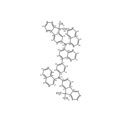 CC1(C)c2ccccc2-c2ccc(N(c3ccc(-c4ccc(N(c5ccc6c(c5)C(C)(C)c5ccccc5-6)c5cccc6ccccc56)c5ccccc45)cc3)c3cccc4ccccc34)cc21